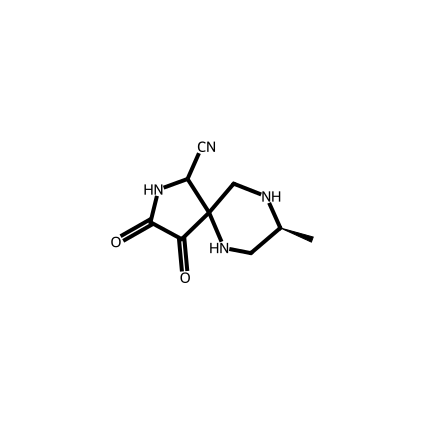 C[C@H]1CNC2(CN1)C(=O)C(=O)NC2C#N